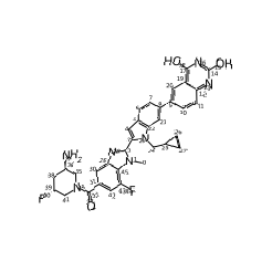 Cn1c(-c2cc3ccc(-c4ccc5nc(O)nc(O)c5c4)cc3n2CC2CC2)nc2cc(C(=O)N3C[C@H](N)C[C@@H](F)C3)cc(F)c21